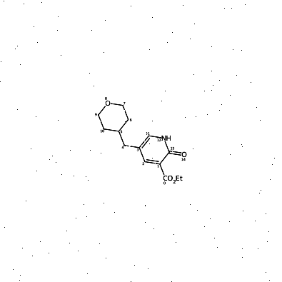 CCOC(=O)c1cc(CC2CCOCC2)c[nH]c1=O